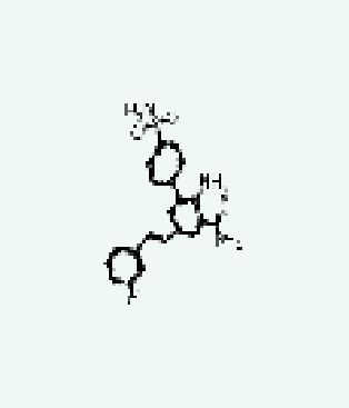 NC(=O)c1cc(C=Cc2cccc(F)c2)cc(-c2ccc(S(N)(=O)=O)cc2)c1N